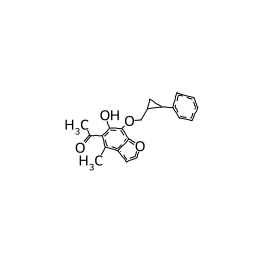 CC(=O)c1c(O)c(OCC2CC2c2ccccc2)c2occc2c1C